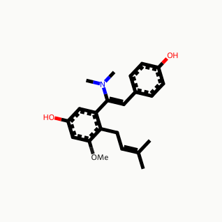 COc1cc(O)cc(C(=Cc2ccc(O)cc2)N(C)C)c1CC=C(C)C